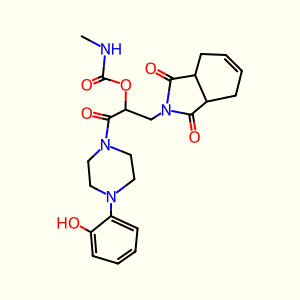 CNC(=O)OC(CN1C(=O)C2CC=CCC2C1=O)C(=O)N1CCN(c2ccccc2O)CC1